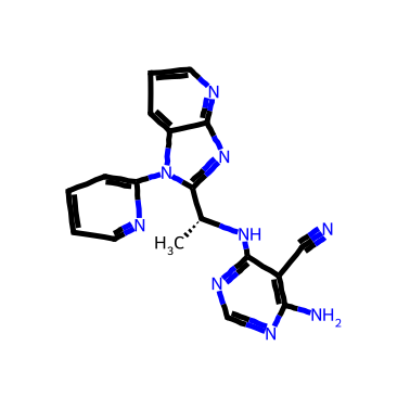 C[C@@H](Nc1ncnc(N)c1C#N)c1nc2ncccc2n1-c1ccccn1